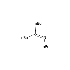 CCCCC(CCCC)=NCCC